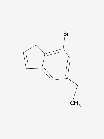 CCc1cc(Br)c2c(c1)C=CC2